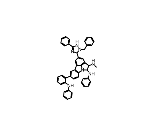 CNC1c2cc(C3N=C(c4ccccc4)NN3Cc3ccccc3)cc3c4cc(-c5ccccc5Nc5ccccc5)ccc4n(c23)C1Nc1ccccc1